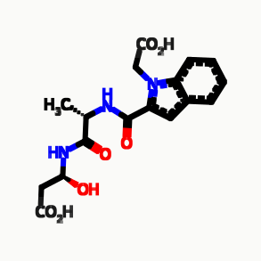 C[C@H](NC(=O)c1cc2ccccc2n1CC(=O)O)C(=O)N[C@@H](O)CC(=O)O